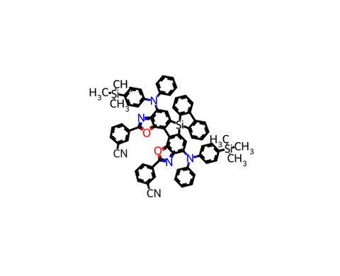 C[Si](C)(C)c1ccc(N(c2ccccc2)c2cc3c(c4oc(-c5cccc(C#N)c5)nc24)-c2c(cc(N(c4ccccc4)c4ccc([Si](C)(C)C)cc4)c4nc(-c5cccc(C#N)c5)oc24)[Si]32c3ccccc3-c3ccccc32)cc1